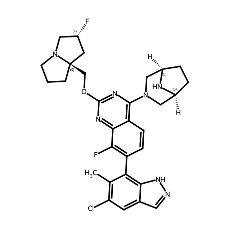 Cc1c(Cl)cc2cn[nH]c2c1-c1ccc2c(N3C[C@H]4CC[C@@H](C3)N4)nc(OC[C@@]34CCCN3C[C@H](F)C4)nc2c1F